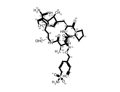 C#C/C=C(\C=C/CS(N)(=O)=O)CO/N=C/C(=O)N[C@@H](CC1=CNC(/C=C\C)C1C)C(=O)N1CCC[C@H]1C(=O)N[C@@H](C)C(=O)N[C@H](C=O)CCCCC(=N)N